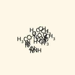 COc1c(NC(=O)c2ccc(C)c(-n3cc(-c4cnc5n4CCN5)nn3)c2)cc(C(C)(C)C)cc1NS(C)(=O)=O